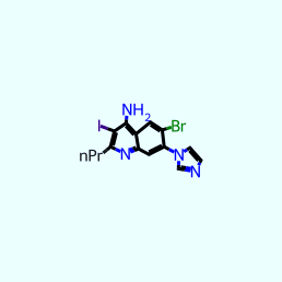 CCCc1nc2cc(-n3ccnc3)c(Br)cc2c(N)c1I